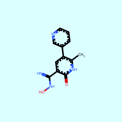 Cc1[nH]c(=O)c(C(=N)NO)cc1-c1cccnc1